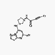 CCC#CC(=O)N[C@@H]1CC[C@@H](Nc2cc(CCC)nc3ccnn23)C1